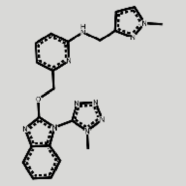 Cn1ccc(CNc2cccc(COc3nc4ccccc4n3-c3nnnn3C)n2)n1